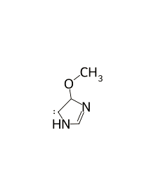 COC1[C]NC=N1